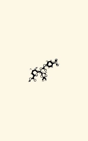 COC(=O)C1=C[C@H](C)[C@@H](C)[C@H]([C@H](OC(=O)Oc2ccc([N+](=O)[O-])cc2)[C@H]2COC(C)(C)O2)O1